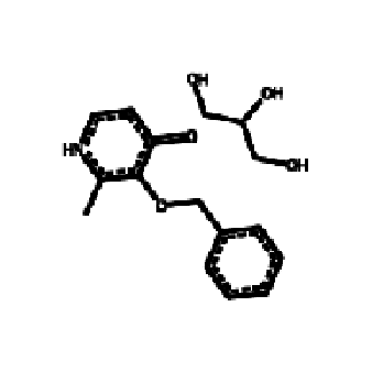 Cc1[nH]ccc(=O)c1OCc1ccccc1.OCC(O)CO